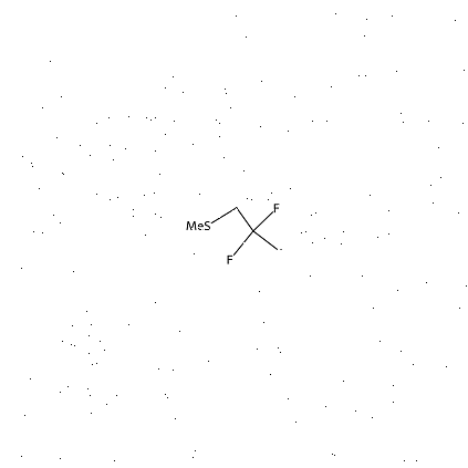 [CH2]C(F)(F)CSC